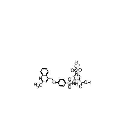 Cc1cc(COc2ccc(S(=O)(=O)N[C@@H]3CN(S(C)(=O)=O)C[C@@H]3C(=O)O)cc2)c2ccccc2n1